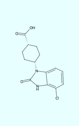 O=c1[nH]c2c(Cl)cccc2n1[C@H]1CC[C@@H](C(=O)O)CC1